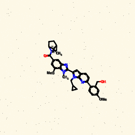 COc1ccc(-c2ccc3cc(-c4nc5cc(C(=O)N6CC7CCC6[C@@H]7C)cc(OC)c5n4C)n(CC4CC4)c3n2)c(CO)c1